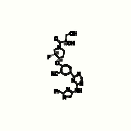 CC(C)C1N=CC(Nc2ncnc(-c3ccc(O[C@H]4CCN(C(=O)[C@@H](O)CO)C[C@H]4F)c(C#N)c3)n2)=N1